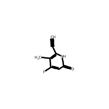 C#Cc1[nH]c(=O)cc(F)c1C